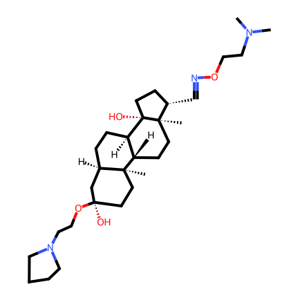 CN(C)CCO/N=C/[C@H]1CC[C@]2(O)[C@@H]3CC[C@@H]4C[C@](O)(OCCN5CCCC5)CC[C@]4(C)[C@H]3CC[C@]12C